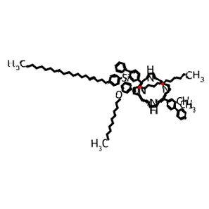 CCCCCCCCCCCCCCCCCCCCc1ccc([Si]2(c3cc(OCCCCCCCCCCCC)cc(OCCCCCCCCCCCC)c3)c3ccccc3-c3ccc(-c4c5nc(cc6ccc([nH]6)c(-c6ccc(-c7ccccc7C)c(C)c6)c6nc(cc7ccc4[nH]7)C=C6)C=C5)cc32)cc1